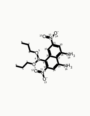 CCCOB(OCCC)c1c([N+](=O)[O-])cc(N)c2c(N)cc([N+](=O)[O-])cc12